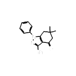 CC(C)c1nn(-c2ccccc2)c2c1C(=O)CC(C)(C)C2